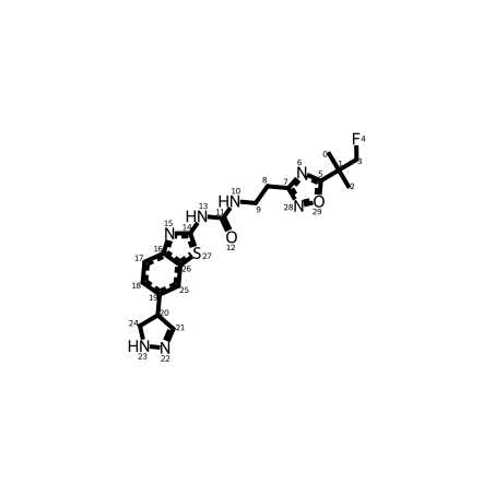 CC(C)(CF)c1nc(CCNC(=O)Nc2nc3ccc(C4C=NNC4)cc3s2)no1